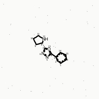 c1ccc(-c2nnc([C@@H]3CCCN3)o2)cc1